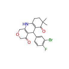 CC1(C)CCC2=C(C1=O)C(c1ccc(F)c(Br)c1)C1=C(COCC1=O)N2